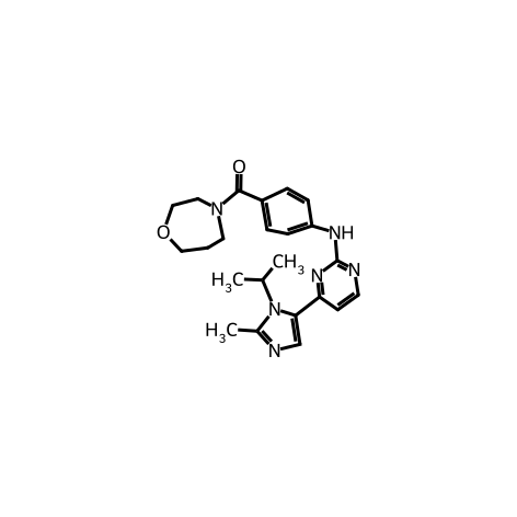 Cc1ncc(-c2ccnc(Nc3ccc(C(=O)N4CCCOCC4)cc3)n2)n1C(C)C